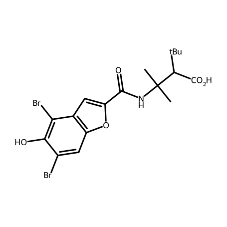 CC(C)(C)C(C(=O)O)C(C)(C)NC(=O)c1cc2c(Br)c(O)c(Br)cc2o1